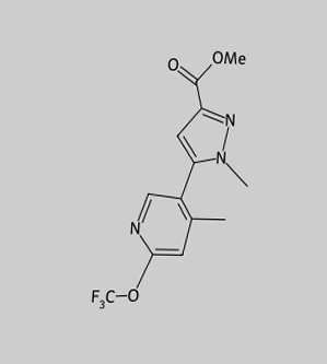 COC(=O)c1cc(-c2cnc(OC(F)(F)F)cc2C)n(C)n1